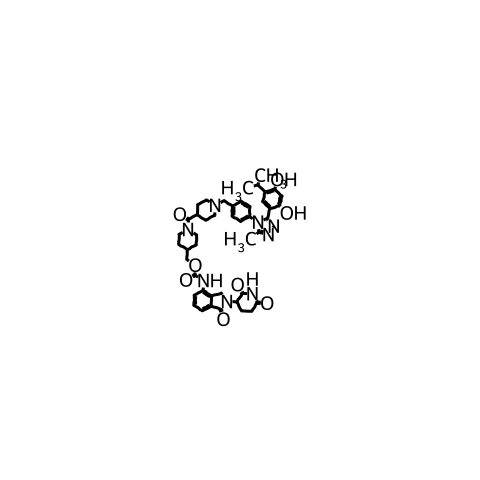 Cc1nnc(-c2cc(C(C)C)c(O)cc2O)n1-c1ccc(CN2CCC(C(=O)N3CCC(COC(=O)Nc4cccc5c4CN(C4CCC(=O)NC4=O)C5=O)CC3)CC2)cc1